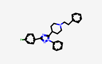 Fc1ccc(-c2nc(C3CCN(CCc4ccccc4)CC3)n(-c3ccccc3)n2)cc1